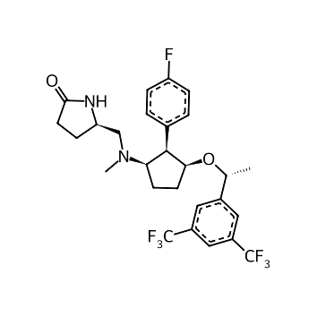 C[C@@H](O[C@H]1CC[C@@H](N(C)C[C@H]2CCC(=O)N2)[C@H]1c1ccc(F)cc1)c1cc(C(F)(F)F)cc(C(F)(F)F)c1